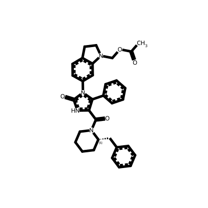 CC(=O)OCN1CCc2ccc(-n3c(-c4ccccc4)c(C(=O)N4CCCC[C@H]4Cc4ccccc4)[nH]c3=O)cc21